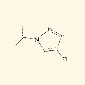 CC(C)n1cc(Cl)[c]n1